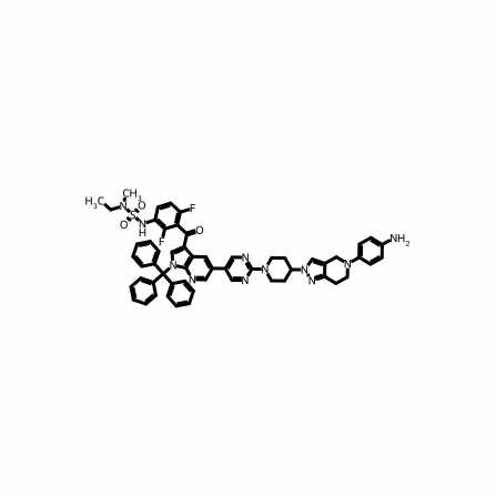 CCN(C)S(=O)(=O)Nc1ccc(F)c(C(=O)c2cn(C(c3ccccc3)(c3ccccc3)c3ccccc3)c3ncc(-c4cnc(N5CCC(n6cc7c(n6)CCN(c6ccc(N)cc6)C7)CC5)nc4)cc23)c1F